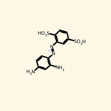 Nc1ccc(/N=N/c2cc(S(=O)(=O)O)ccc2S(=O)(=O)O)c(N)c1